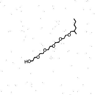 CCCCC(C)COCCOCCOCCOCCOCCO